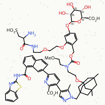 COCCN(CCOC12CC3(C)CC(C)(CC(Cn4ncc(-c5ccc(-c6ccc7cccc(C(=O)Nc8nc9ccccc9s8)c7c6)nc5C(=O)O)c4C)(C3)C1)C2)C(=O)OCc1ccc(O[C@@H]2O[C@H](C(=O)O)[C@@H](O)[C@H](O)[C@H]2O)cc1OCCOCCNC(=O)C(N)CS(=O)(=O)O